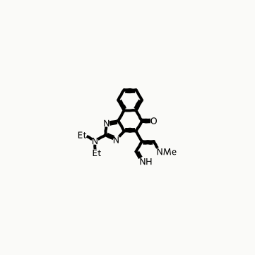 CCN(CC)C1=NC2=C(/C(C=N)=C/NC)C(=O)c3ccccc3C2=N1